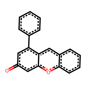 O=c1cc2oc3ccccc3cc-2c(-c2ccccc2)c1